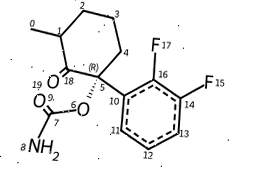 CC1CCC[C@@](OC(N)=O)(c2cccc(F)c2F)C1=O